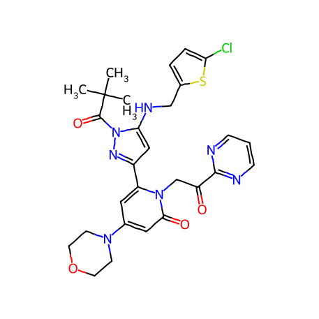 CC(C)(C)C(=O)n1nc(-c2cc(N3CCOCC3)cc(=O)n2CC(=O)c2ncccn2)cc1NCc1ccc(Cl)s1